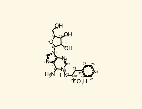 NC1c2ncn([C@H]3O[C@@H](CO)C(O)C3O)c2N=CN1N[C@H](Cc1ccccc1)C(=O)O